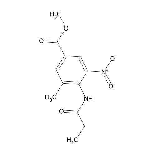 CCC(=O)Nc1c(C)cc(C(=O)OC)cc1[N+](=O)[O-]